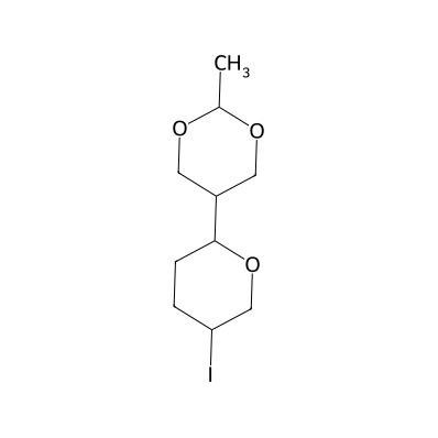 CC1OCC(C2CCC(I)CO2)CO1